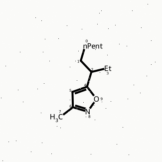 CCCCCCC(CC)c1cc(C)no1